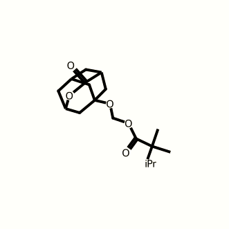 CC(C)C(C)(C)C(=O)OCOC12CC3CC(C1)OC(=O)C(C3)C2